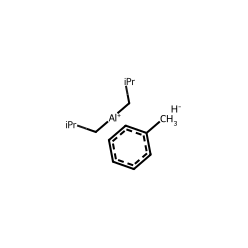 CC(C)[CH2][Al+][CH2]C(C)C.Cc1ccccc1.[H-]